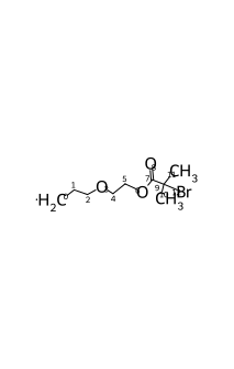 [CH2]CCOCCOC(=O)C(C)(C)Br